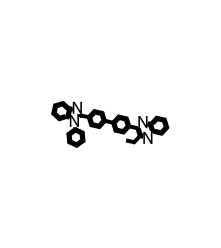 CCc1nc2ccccc2nc1-c1ccc(-c2ccc(-c3nc4ccccc4n3-c3ccccc3)cc2)cc1